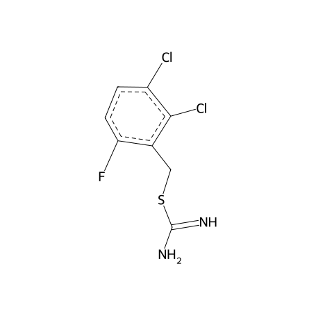 N=C(N)SCc1c(F)ccc(Cl)c1Cl